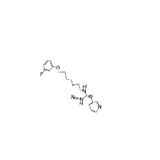 N#CN/C(=N\c1cccnc1)NCCCCCCCOc1cccc(F)c1